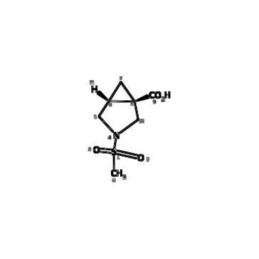 CS(=O)(=O)N1C[C@@H]2C[C@]2(C(=O)O)C1